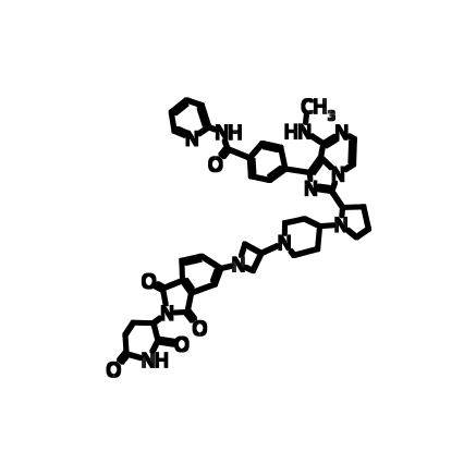 CNc1nccn2c(C3CCCN3C3CCN(C4CN(c5ccc6c(c5)C(=O)N(C5CCC(=O)NC5=O)C6=O)C4)CC3)nc(-c3ccc(C(=O)Nc4ccccn4)cc3)c12